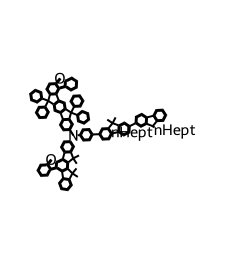 CCCCCCCC1(CCCCCCC)c2ccccc2-c2ccc(-c3ccc4c(c3)C(C)(C)c3cc(-c5ccc(N(c6ccc7c(c6)C(C)(C)c6c8c(c9c(oc%10ccccc%109)c6-7)-c6ccccc6C8(C)C)c6ccc7c(c6)C(c6ccccc6)(c6ccccc6)c6cc8c(cc6-7)C(c6ccccc6)(c6ccccc6)c6ccc7oc9ccccc9c7c6-8)cc5)ccc3-4)cc21